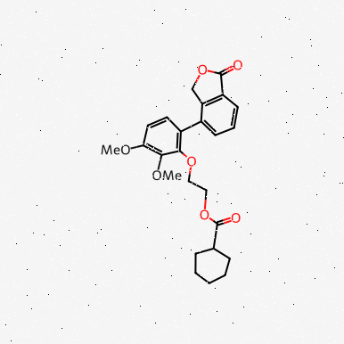 COc1ccc(-c2cccc3c2COC3=O)c(OCCOC(=O)C2CCCCC2)c1OC